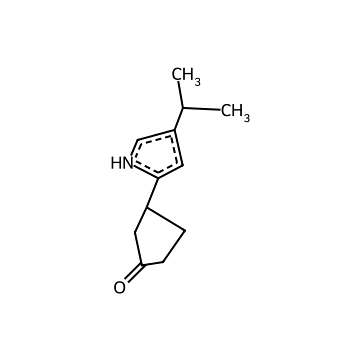 CC(C)c1c[nH]c(C2CCC(=O)C2)c1